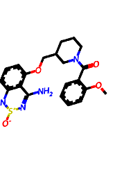 COc1ccccc1C(=O)N1CCCC(COc2cccc3c2C(N)=N[S+]([O-])N3)C1